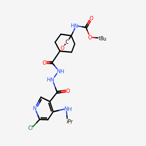 CC(C)Nc1cc(Cl)ncc1C(=O)NNC(=O)C12CCC(NC(=O)OC(C)(C)C)(CC1)CO2